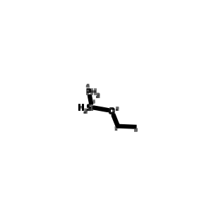 CCO[SiH2]P